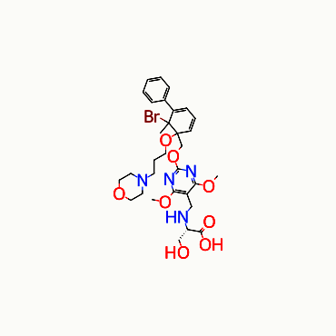 COc1nc(OCC2(OCCCN3CCOCC3)C=CC=C(c3ccccc3)C2(C)Br)nc(OC)c1CN[C@@H](CO)C(=O)O